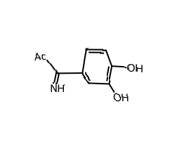 CC(=O)C(=N)c1ccc(O)c(O)c1